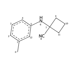 Cc1cccc(NC2(C#N)CCC2)c1